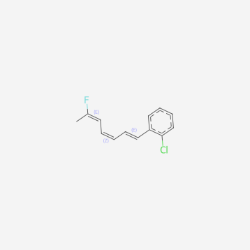 C\C(F)=C/C=C\C=C\c1ccccc1Cl